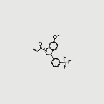 C=CC(=O)N1CC(c2cccc(C(F)(F)F)c2)c2ccc(OC)cc21